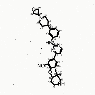 N#Cc1cc(-c2ccnc(Nc3cccc(C4CCN(C5COC5)CC4)c3)n2)ccc1OC1CCNCC1(F)F